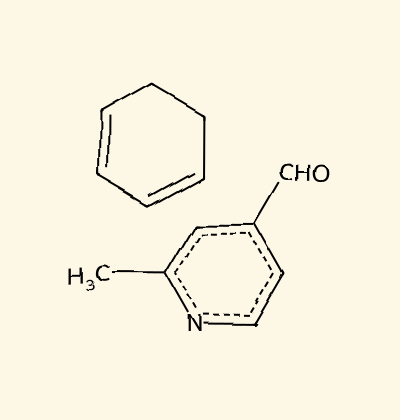 C1=CCCC=C1.Cc1cc(C=O)ccn1